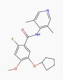 COc1cc(F)c(C(=O)Nc2c(C)cncc2C)cc1OC1CCCC1